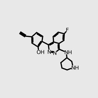 C#Cc1ccc(-c2nnc(NC3CCCNC3)c3cc(F)ccc23)c(O)c1